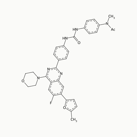 CC(=O)N(C)c1ccc(NC(=O)Nc2ccc(-c3nc(N4CCOCC4)c4cc(F)c(-c5ccc(C)o5)cc4n3)cc2)cc1